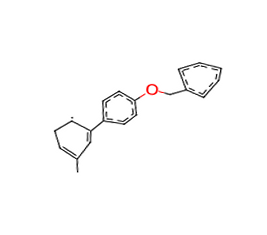 CC1=CC[CH]C(c2ccc(OCc3ccccc3)cc2)=C1